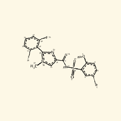 COc1ccc(Br)cc1S(=O)(=O)NC(=O)c1cn(C)c(-c2c(F)cccc2F)n1